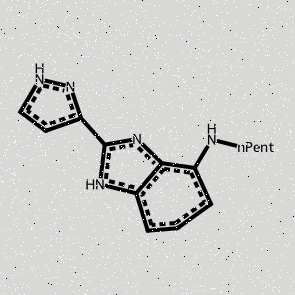 CCCCCNc1cccc2[nH]c(-c3cc[nH]n3)nc12